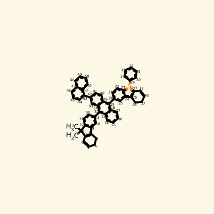 CC1(C)C2=C(CCC=C2)c2cc(-c3c4ccccc4c(-c4ccc5c(c4)c4c(p5-c5ccccc5)C=CCC4)c4ccc(-c5cccc6ccccc56)cc34)ccc21